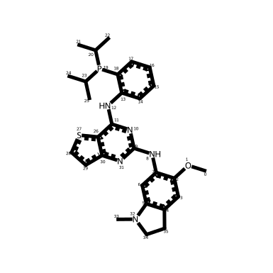 COc1cc2c(cc1Nc1nc(Nc3ccccc3P(C(C)C)C(C)C)c3sccc3n1)N(C)CC2